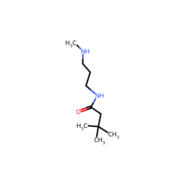 CNCCCNC(=O)CC(C)(C)C